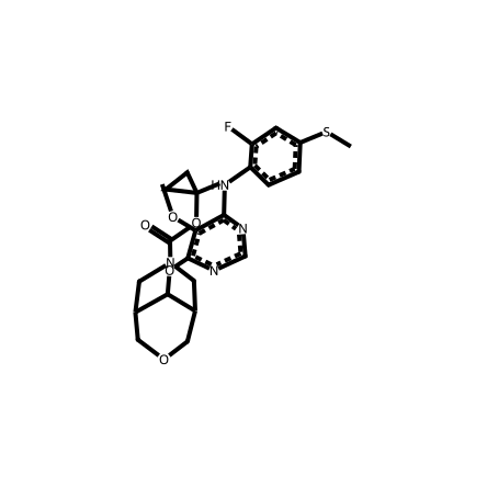 COc1c(Nc2ccc(SC)cc2F)ncnc1OC1C2COCC1CN(C(=O)OC1(C)CC1)C2